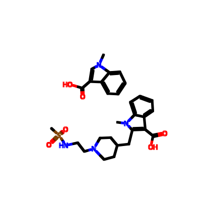 Cn1c(CC2CCN(CCNS(C)(=O)=O)CC2)c(C(=O)O)c2ccccc21.Cn1cc(C(=O)O)c2ccccc21